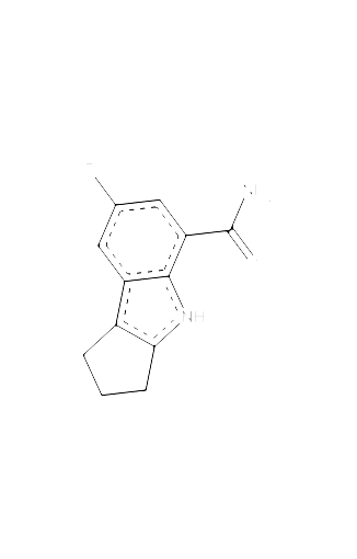 NC(=O)c1cc(F)cc2c3c([nH]c12)CCC3